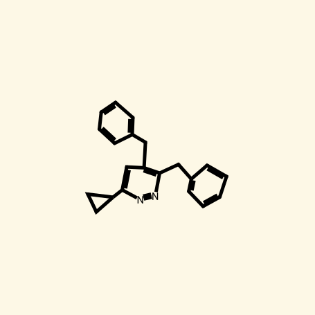 c1ccc(Cc2cc(C3CC3)nnc2Cc2ccccc2)cc1